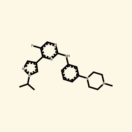 CC(C)n1cc(-c2nc(Nc3cccc(N4CCN(C)CC4)c3)ncc2F)cn1